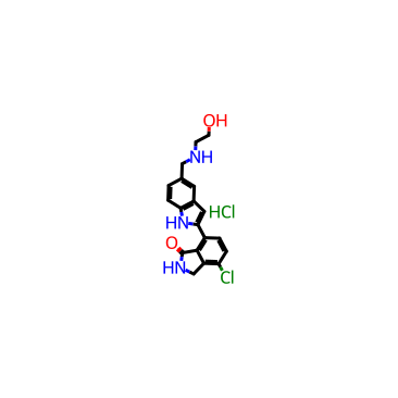 Cl.O=C1NCc2c(Cl)ccc(-c3cc4cc(CNCCO)ccc4[nH]3)c21